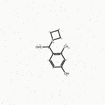 Cc1cc(O)ccc1C(C=O)N1CCC1